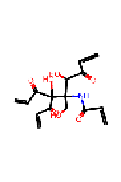 C=CC(=O)NC(CO)(C(O)C(=O)C=C)C(O)(C(=O)C=C)C(=O)C=C